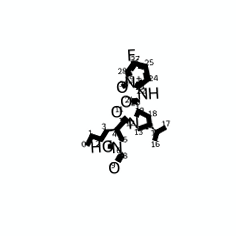 CCCC[C@H](CN(O)C=O)C(=O)N1C[C@@H](C(C)C)C[C@H]1C(=O)Nc1ccc(F)c[n+]1[O-]